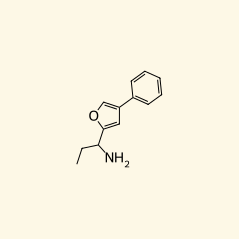 CCC(N)c1cc(-c2ccccc2)co1